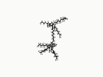 CCCCCCCC[PH](CCCCCCCC)(CCCCCCCC)C(Br)CCCCCCCCCCC(Br)[PH](CCCCCCCC)(CCCCCCCC)CCCCCCCC